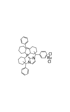 CC(c1ccccc1)n1ccn(C(C)c2ccccc2)c1=P(C1CCCCC1)(C1CCCCC1)C1CCCCC1=Cc1ccccc1.[Cl][Ru][Cl]